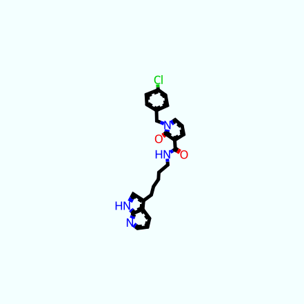 O=C(NCCCCCc1c[nH]c2ncccc12)c1cccn(Cc2ccc(Cl)cc2)c1=O